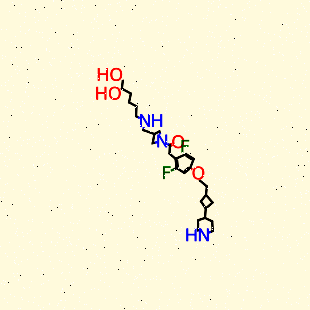 O=C(Cc1c(F)cc(OCCC2CC(C3CCNCC3)C2)cc1F)N1CC(CNCCCC[C@H](O)CO)C1